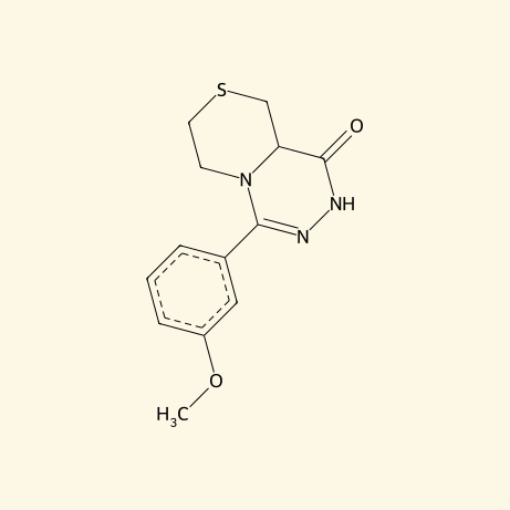 COc1cccc(C2=NNC(=O)C3CSCCN23)c1